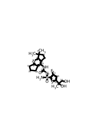 CC1(C)CCc2c1nc1c(c2NC(=O)N=S(N)(=O)c2sc(C(C)(O)CO)cc2F)CCC1